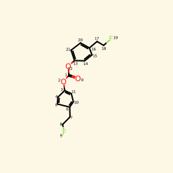 O=C(Oc1ccc(CCF)cc1)Oc1ccc(CCF)cc1